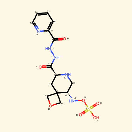 O=C(NNC(=O)[C@@H]1CC2(COC2)[C@@H](NOS(=O)(=O)O)CN1)c1ccccn1